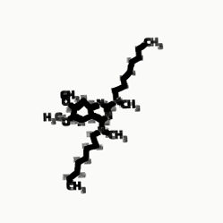 CCCCCCCCN(C)c1nc(N(C)CCCCCCCC)c2cc(OC)c(OC)cc2n1